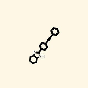 C(#Cc1ccc(C2=NC3CCCCC3N2)cc1)c1ccccc1